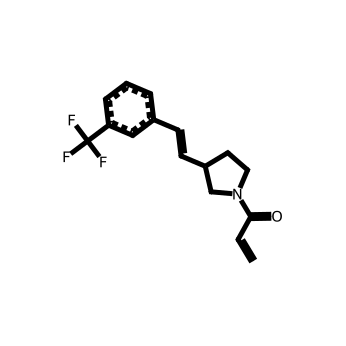 C=CC(=O)N1CCC(C=Cc2cccc(C(F)(F)F)c2)C1